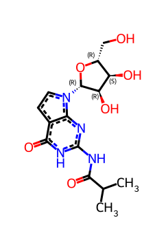 CC(C)C(=O)Nc1nc2c(ccn2[C@@H]2O[C@H](CO)[C@@H](O)[C@H]2O)c(=O)[nH]1